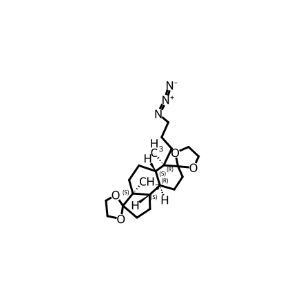 C[C@]12CC[C@H]3[C@@H](CCC4(OCCO4)[C@]3(C)CCCN=[N+]=[N-])[C@@H]1CCC21OCCO1